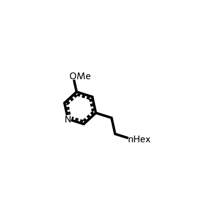 CCCCCCCCc1cncc(OC)c1